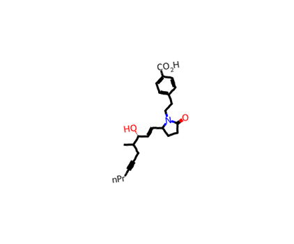 CCCC#CCC(C)[C@H](O)/C=C/C1CCC(=O)N1CCc1ccc(C(=O)O)cc1